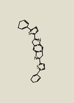 C1=CC(c2ccc(C3=Nc4cc5c(cc4C3)N=C(c3ccc(C4=CCCC=C4)s3)C5)s2)=CCC1